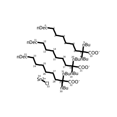 CCCCCCCCCCCCCCCCC(CCCC)(CCCC)C(=O)[O-].CCCCCCCCCCCCCCCCC(CCCC)(CCCC)C(=O)[O-].CCCCCCCCCCCCCCCCC(CCCC)(CCCC)C(=O)[O-].[Cl][Sn+3]